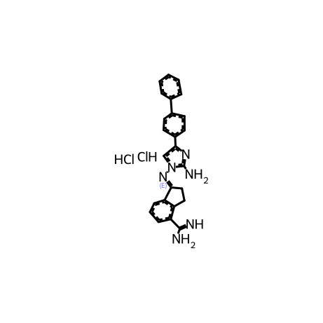 Cl.Cl.N=C(N)c1cccc2c1CC/C2=N\n1cc(-c2ccc(-c3ccccc3)cc2)nc1N